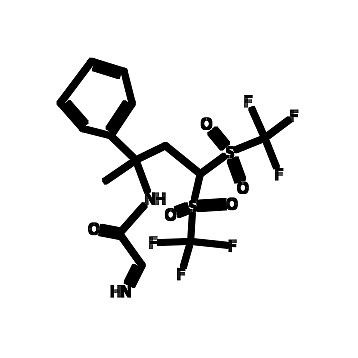 CC(CC(S(=O)(=O)C(F)(F)F)S(=O)(=O)C(F)(F)F)(NC(=O)C=N)c1ccccc1